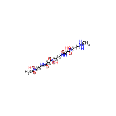 CNNCCCCCN(O)C(=O)CCC(=O)NCCCCCN(O)C(=O)CCC(=O)NCCCCCN(O)C(C)=O